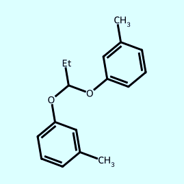 CCC(Oc1cccc(C)c1)Oc1cccc(C)c1